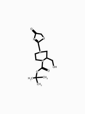 CC(C)(C)OC(=O)N1CCN(C2=NC(=O)CS2)CC1CO